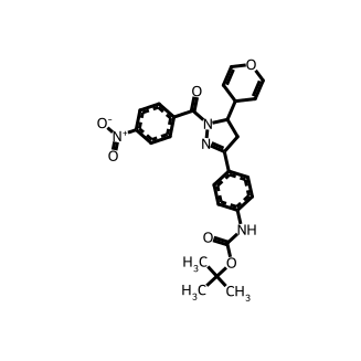 CC(C)(C)OC(=O)Nc1ccc(C2=NN(C(=O)c3ccc([N+](=O)[O-])cc3)C(C3C=COC=C3)C2)cc1